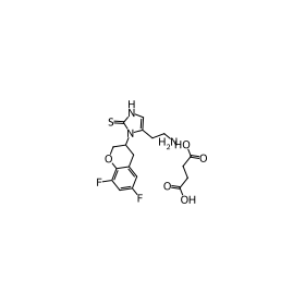 NCCc1c[nH]c(=S)n1C1COc2c(F)cc(F)cc2C1.O=C(O)CCC(=O)O